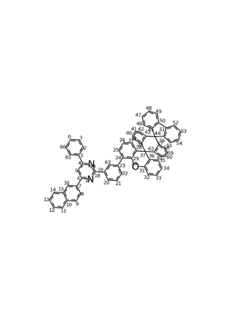 c1ccc(-c2cc(-c3ccc4ccccc4c3)nc(-c3cccc(-c4cccc5c4Oc4ccccc4C54c5ccccc5C5(c6ccccc6-c6ccccc65)c5ccccc54)c3)n2)cc1